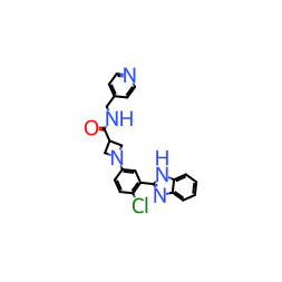 O=C(NCc1ccncc1)C1CN(c2ccc(Cl)c(-c3nc4ccccc4[nH]3)c2)C1